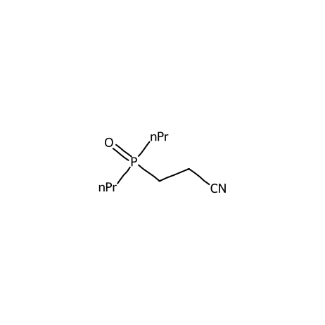 CCCP(=O)(CCC)CCC#N